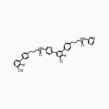 N#Cc1cccc(-c2ccc(CCCC(=O)Nc3ccc(-c4cc(Cl)c(F)c(-c5ccc(CCCC(=O)Nc6cccnc6)cc5)c4)nc3)cc2)c1F